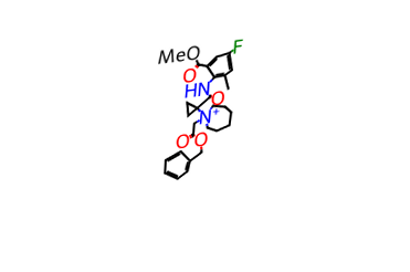 COC(=O)c1cc(F)cc(C)c1NC(=O)C1([N+]2(CC(=O)OCc3ccccc3)CCCCCC2)CC1